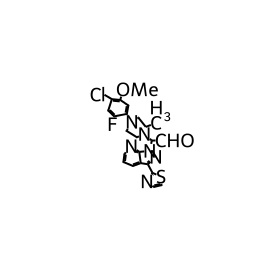 COc1cc(N2CCN(C(C=O)n3nc(-c4nccs4)c4cccnc43)C(C)C2)c(F)cc1Cl